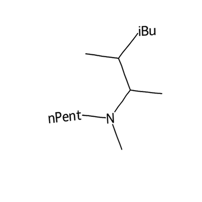 CCCCCN(C)C(C)C(C)C(C)CC